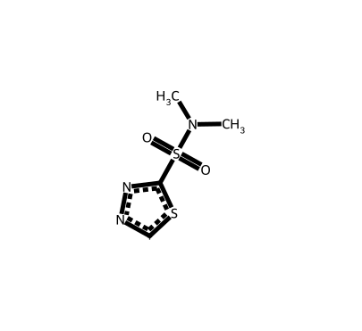 CN(C)S(=O)(=O)c1nn[c]s1